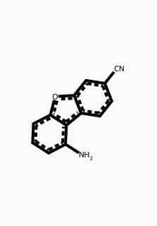 N#Cc1ccc2c(c1)oc1cccc(N)c12